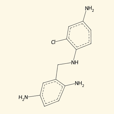 Nc1ccc(NCc2cc(N)ccc2N)c(Cl)c1